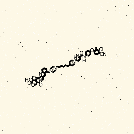 CC[C@@]1(O)C(=O)OCc2c1cc1n(c2=O)Cc2cc3c(CN4CCN(CCCCCCC5CCN(c6ccc(C(=O)N[C@H]7CC[C@H](Oc8ccc(C#N)c(Cl)c8C)CC7)nn6)CC5)CC4)cccc3nc2-1